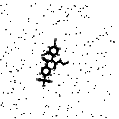 CCOC(=O)C(C(=O)c1ccc(S(C)(=O)=O)cc1)c1ccc(F)cc1F